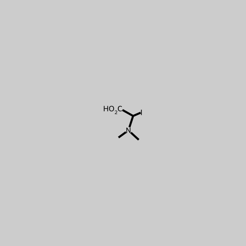 CN(C)C(I)C(=O)O